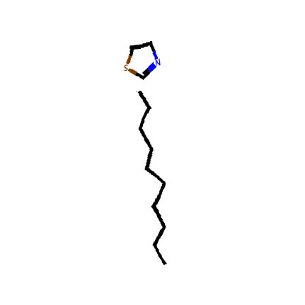 [CH2]CCCCCCCCC.[C]1=NCCS1